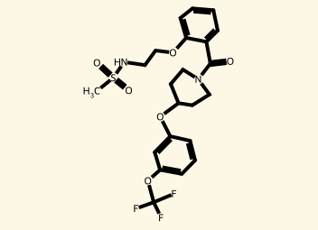 CS(=O)(=O)NCCOc1ccccc1C(=O)N1CCC(Oc2cccc(OC(F)(F)F)c2)CC1